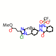 CCCCc1nc(CCC(=O)OC)c(Cl)n1Cc1ccc(NC(=O)c2ccccc2NS(=O)(=O)C(F)(F)F)cc1